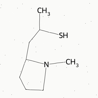 CC(S)CC1CCCN1C